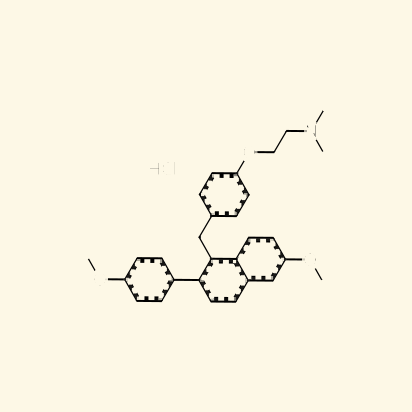 COc1ccc(-c2ccc3cc(OC)ccc3c2Cc2ccc(OCCN(C)C)cc2)cc1.Cl